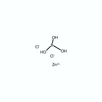 OB(O)O.[Cl-].[Cl-].[Zn+2]